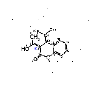 C/C(O)=C1/C(=O)Oc2ccccc2C1C(F)F